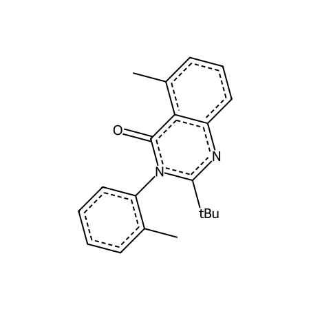 Cc1ccccc1-n1c(C(C)(C)C)nc2cccc(C)c2c1=O